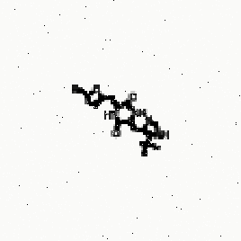 CC(C)(C)c1[nH]cnc1/C=c1\[nH]c(=O)/c(=C/c2ccc(Br)o2)[nH]c1=O